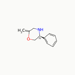 C=C1CN[C@@H](c2ccccc2)CO1